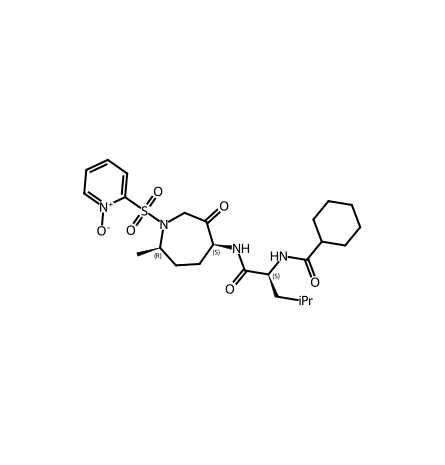 CC(C)C[C@H](NC(=O)C1CCCCC1)C(=O)N[C@H]1CC[C@@H](C)N(S(=O)(=O)c2cccc[n+]2[O-])CC1=O